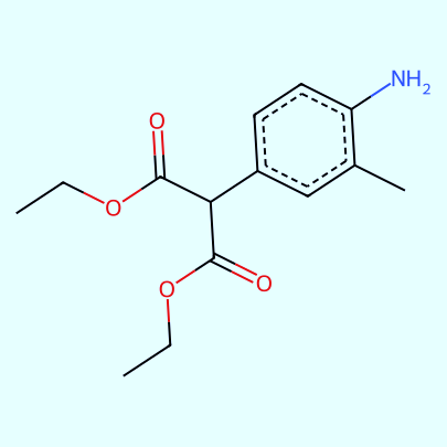 CCOC(=O)C(C(=O)OCC)c1ccc(N)c(C)c1